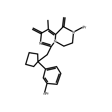 C=C1N=C(CC2(c3cccc(CCC)c3)CCCC2)N2CCN(C(C)C)C(=C)C2=C1C